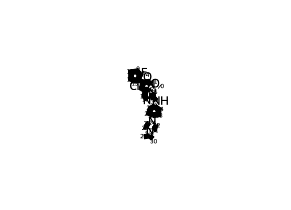 COn1c(=O)c(-c2c(F)cccc2Cl)cc2cnc(Nc3ccc(N4CCN(C(C)C)CC4)cc3)nc21